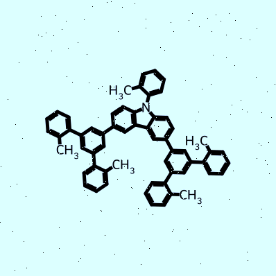 Cc1ccccc1-c1cc(-c2ccc3c(c2)c2cc(-c4cc(-c5ccccc5C)cc(-c5ccccc5C)c4)ccc2n3-c2ccccc2C)cc(-c2ccccc2C)c1